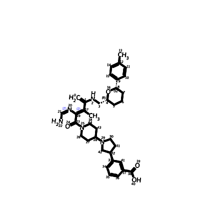 C=C(NC[C@H]1CCC[C@@H](c2ccc(C)cc2)O1)/C(C)=C(\N=C/N)C(=O)N1CCC(N2CCC(c3cccc(C(=O)O)c3)C2)CC1